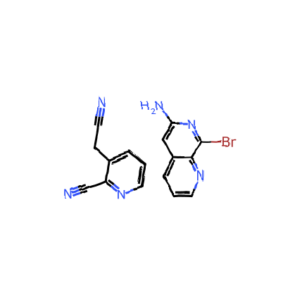 N#CCc1cccnc1C#N.Nc1cc2cccnc2c(Br)n1